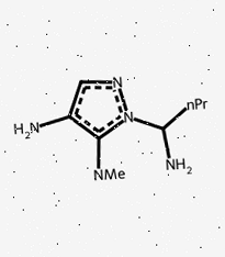 CCCC(N)n1ncc(N)c1NC